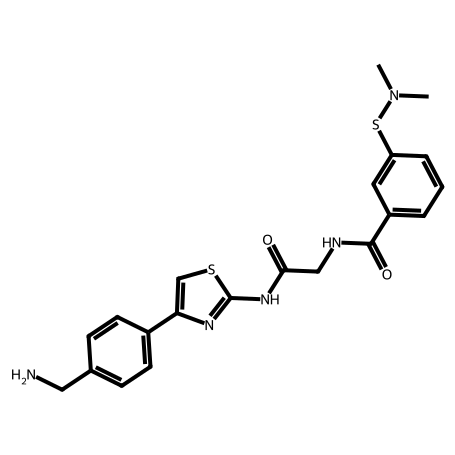 CN(C)Sc1cccc(C(=O)NCC(=O)Nc2nc(-c3ccc(CN)cc3)cs2)c1